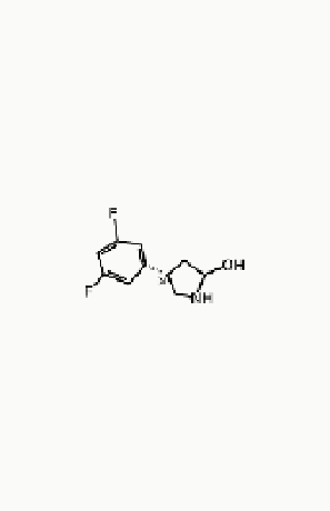 OC1C[C@@H](c2cc(F)cc(F)c2)CN1